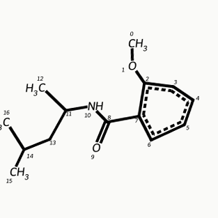 COc1ccccc1C(=O)NC(C)CC(C)C